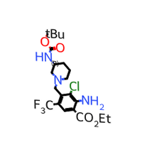 CCOC(=O)c1cc(C(F)(F)F)c(CN2CCC[C@@H](NC(=O)OC(C)(C)C)C2)c(Cl)c1N